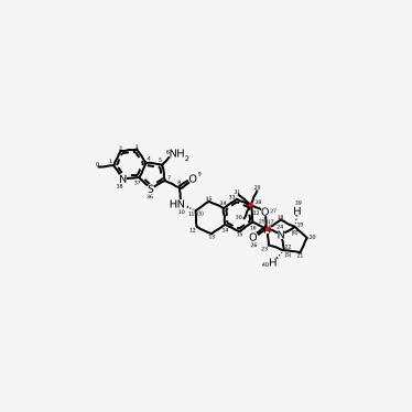 Cc1ccc2c(N)c(C(=O)N[C@H]3CCc4cc(N5C[C@H]6CC[C@@H](C5)N6C(=O)OC(C)(C)C)ccc4C3)sc2n1